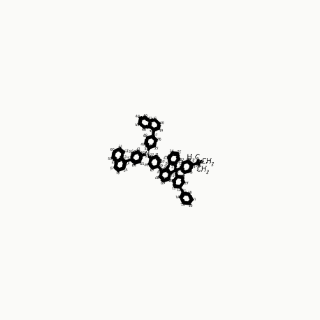 CC(C)(C)c1ccc(C2(c3ccc(-c4ccccc4)cc3)c3ccccc3-c3c(-c4ccc(N(c5ccc(-c6cccc7ccccc67)cc5)c5ccc(-c6cccc7ccccc67)cc5)cc4)cccc32)cc1